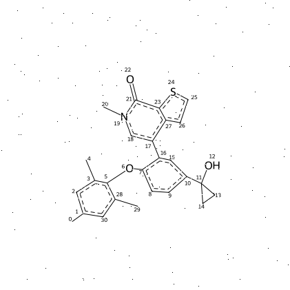 Cc1cc(C)c(Oc2ccc(C3(O)CC3)cc2-c2cn(C)c(=O)c3sccc23)c(C)c1